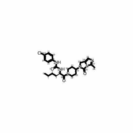 CCCC[C@@H](NC(=O)Nc1ccc(Cl)cc1)C(=O)N1CCC(N2Cc3cnc(C)n3C2=O)CC1